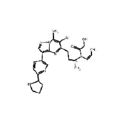 C/C=C\N(C(=O)CO)[C@H](C)CCc1nc2c(-c3ccc(C4CCCN4)nc3)cnn2c(N)c1C(C)=O